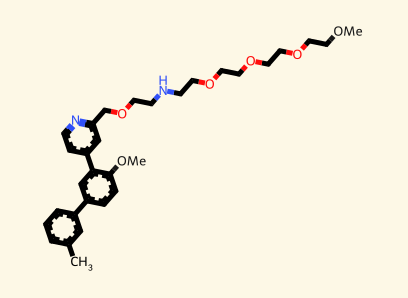 COCCOCCOCCOCCNCCOCc1cc(-c2cc(-c3cccc(C)c3)ccc2OC)ccn1